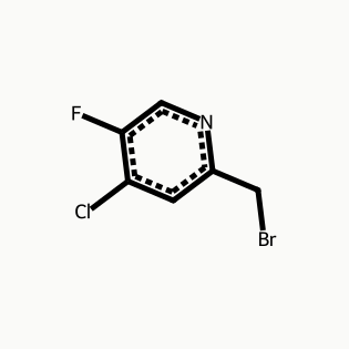 Fc1cnc(CBr)cc1Cl